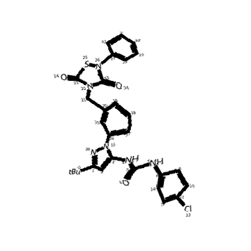 CC(C)(C)c1cc(NC(=O)Nc2ccc(Cl)cc2)n(-c2cccc(Cn3c(=O)sn(-c4ccccc4)c3=O)c2)n1